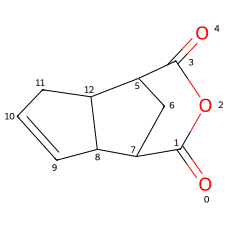 O=C1OC(=O)C2CC1C1C=CCC21